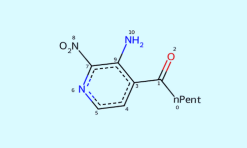 CCCCCC(=O)c1ccnc([N+](=O)[O-])c1N